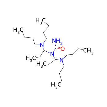 CCCCN(CCCC)C(CC)N(C(N)=O)C(CC)N(CCCC)CCCC